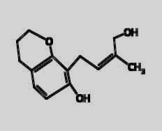 CC(=CCc1c(O)ccc2c1OCCC2)CO